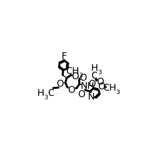 CCCO[C@H]1COC[C@H](NC(=O)c2nccc(OC)c2OC(C)=O)C(=O)O[C@@H](C)[C@@H]1Cc1ccc(F)cc1